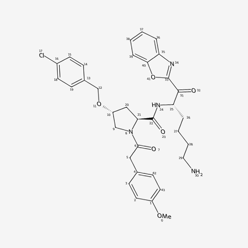 COc1ccc(CC(=O)N2C[C@H](OCc3ccc(Cl)cc3)C[C@H]2C(=O)N[C@@H](CCCCN)C(=O)c2nc3ccccc3o2)cc1